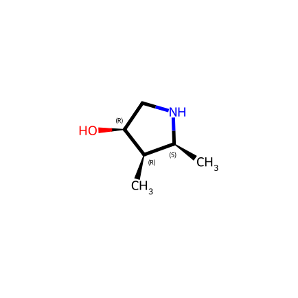 C[C@@H]1[C@H](C)NC[C@@H]1O